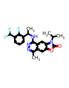 Cc1nnc(NC(C)c2cccc(C(F)F)c2F)c2cc3c(cc12)oc(=O)n3C(C)C